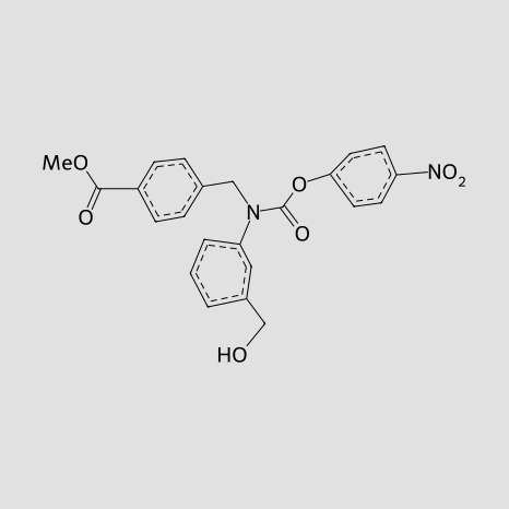 COC(=O)c1ccc(CN(C(=O)Oc2ccc([N+](=O)[O-])cc2)c2cccc(CO)c2)cc1